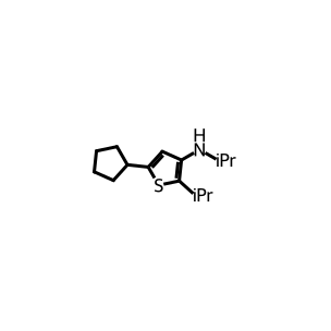 CC(C)Nc1cc(C2CCCC2)sc1C(C)C